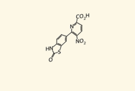 O=C(O)c1ccc([N+](=O)[O-])c(-c2ccc3[nH]c(=O)sc3c2)n1